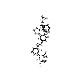 CC1(C)CCC[C@@H]1c1cc(COc2cccc(C(CC(=O)O)C3CC3)c2)ccc1-c1cccc(OC2CC2)c1